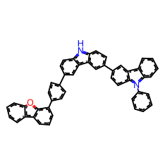 c1ccc(-n2c3ccccc3c3cc(-c4ccc5[nH]c6ccc(-c7ccc(-c8cccc9c8oc8ccccc89)cc7)cc6c5c4)ccc32)cc1